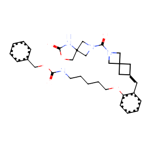 O=C(NCCCCCOc1ccccc1C=C1CC2(C1)CN(C(=O)N1CC3(COC(=O)N3)C1)C2)OCc1ccccc1